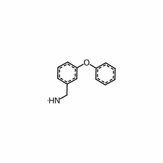 [NH]Cc1cccc(Oc2ccccc2)c1